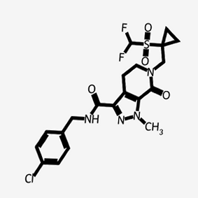 Cn1nc(C(=O)NCc2ccc(Cl)cc2)c2c1C(=O)N(CC1(S(=O)(=O)C(F)F)CC1)CC2